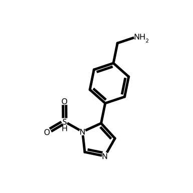 NCc1ccc(-c2cncn2[SH](=O)=O)cc1